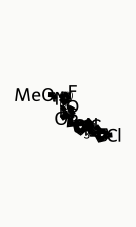 COCCN1C[C@H](F)C[C@H]1CN1C(=O)SC(=Cc2ccc3c(cnn3Cc3ccc(Cl)cc3C(F)(F)F)c2)C1=O